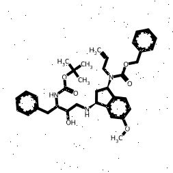 C=CCN(C(=O)OCc1ccccc1)[C@@H]1C[C@H](NCC(O)C(Cc2ccccc2)NC(=O)OC(C)(C)C)c2cc(OC)ccc21